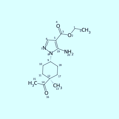 CCOC(=O)c1cnn([C@H]2CC[C@](C)(C(C)=O)CC2)c1N